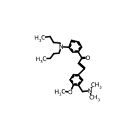 CCCCN(CCCC)c1cccc(C(=O)C=Cc2ccc(OC)c(CN(C)C)c2)c1